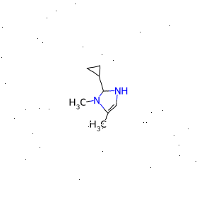 CC1=CNC(C2CC2)N1C